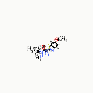 COc1ccc2nc(NC(=O)NC(C)(C)C)sc2c1